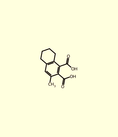 Cc1cc2c(c(C(=O)O)c1C(=O)O)CCCC2